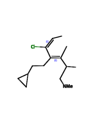 C/C=C(Cl)\C(CCC1CC1)=C(/C)C(C)CNC